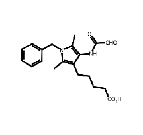 Cc1c(CCCCC(=O)O)c(NC(=O)C=O)c(C)n1Cc1ccccc1